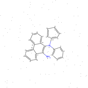 Nc1c(N(c2ccccc2)c2ccccc2)c2ccccc2c2ccccc12